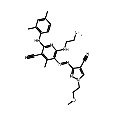 COCCn1cc(C#N)c(N=Nc2c(NCCN)nc(Nc3ccc(C)cc3C)c(C#N)c2C)n1